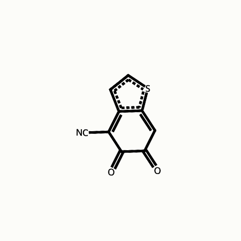 N#CC1=c2ccsc2=CC(=O)C1=O